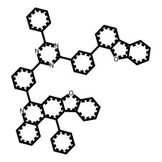 c1ccc(-c2nc(-c3cccc(-c4nc5ccccc5c5c(-c6ccccc6)c6c(cc45)oc4ccccc46)c3)nc(-c3cccc(-c4cccc5c4oc4ccccc45)c3)n2)cc1